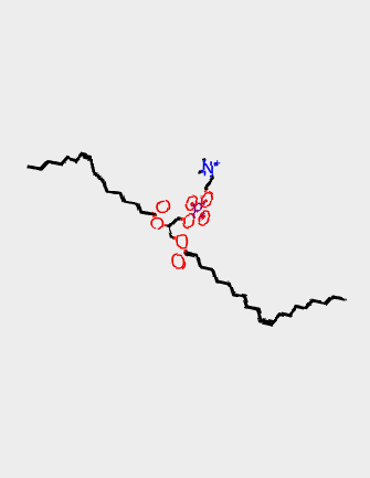 CCCCCC/C=C\CCCCCCCC(=O)O[C@H](COC(=O)CCCCCCCCC/C=C\CCCCCCCC)COP(=O)([O-])OCC[N+](C)(C)C